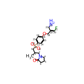 CC(CN1CCCC1=O)CS(=O)(=O)c1ccc(OC/C(=C/F)CN)cc1